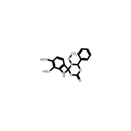 CCCCCCCCc1ccc2c(c1CCCCCCCC)NC21OC(=O)OC(c2ccccc2)N1OC(=O)O